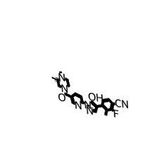 Cc1c(-c2cnn(-c3ccc(C(=O)N4CCN(C)[C@H](C)C4)cn3)c2O)ccc(C#N)c1F